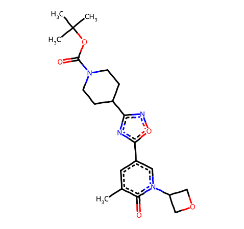 Cc1cc(-c2nc(C3CCN(C(=O)OC(C)(C)C)CC3)no2)cn(C2COC2)c1=O